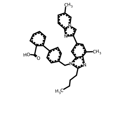 CCCCc1nc2c(C)cc(-c3cn4cc(C)ccc4n3)cc2n1Cc1ccc(-c2ccccc2C(=O)O)cc1